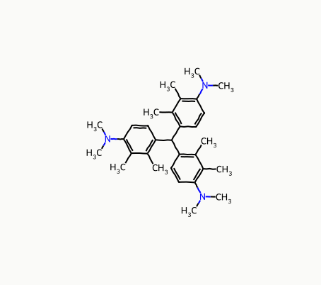 Cc1c(C(c2ccc(N(C)C)c(C)c2C)c2ccc(N(C)C)c(C)c2C)ccc(N(C)C)c1C